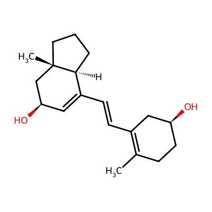 CC1=C(/C=C/C2=C[C@@H](O)C[C@]3(C)CCC[C@@H]23)C[C@@H](O)CC1